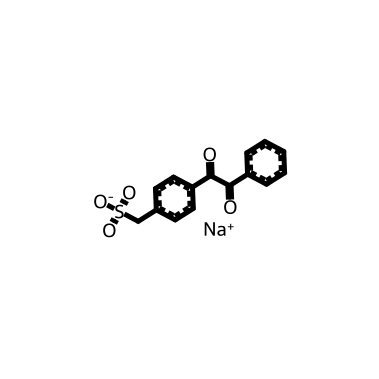 O=C(C(=O)c1ccc(CS(=O)(=O)[O-])cc1)c1ccccc1.[Na+]